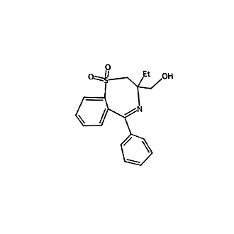 CCC1(CO)CS(=O)(=O)c2ccccc2C(c2ccccc2)=N1